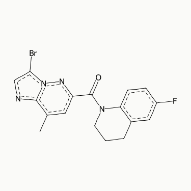 Cc1cc(C(=O)N2CCCc3cc(F)ccc32)nn2c(Br)cnc12